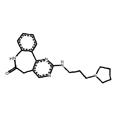 O=C1Cc2cnc(NCCCN3CCCC3)nc2-c2ccccc2N1